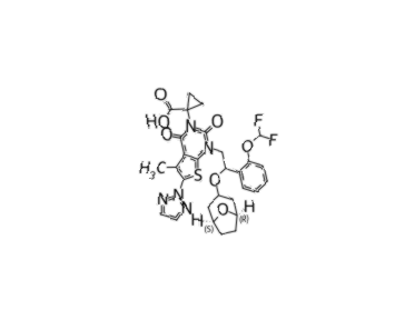 Cc1c(-n2nccn2)sc2c1c(=O)n(C1(C(=O)O)CC1)c(=O)n2CC(OC1C[C@H]2CC[C@@H](C1)O2)c1ccccc1OC(F)F